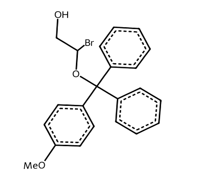 COc1ccc(C(OC(Br)CO)(c2ccccc2)c2ccccc2)cc1